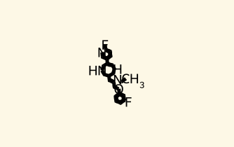 CCN/C(=C\C1CC/C=C(/c2ccc(F)nc2)CNC1)COc1cccc(F)c1